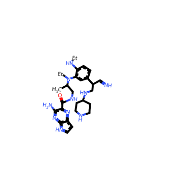 CCNc1ccc(C(C=N)CNC2CCNCC2)cc1N(CC)C(C)CNC(=O)c1nc2cc[nH]c2nc1N